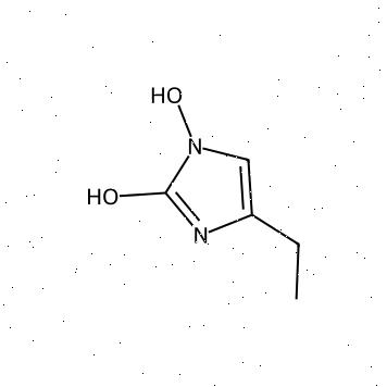 CCc1cn(O)c(O)n1